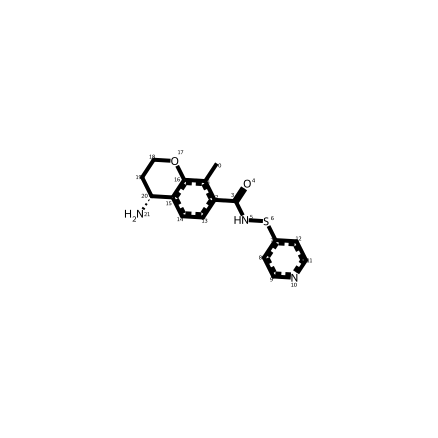 Cc1c(C(=O)NSc2ccncc2)ccc2c1OCC[C@H]2N